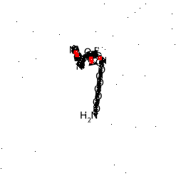 Cc1ccc(N2CCC[C@H](N(Cc3ccnc(C)c3)Cc3cn(C4CC4)c4cc(OCCN(C)C(=O)CCOCCOCCOCCOCCOCCOCCOCCN)c(F)cc4c3=O)C2)cn1